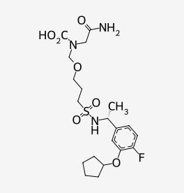 C[C@@H](NS(=O)(=O)CCCOCN(CC(N)=O)C(=O)O)c1ccc(F)c(OC2CCCC2)c1